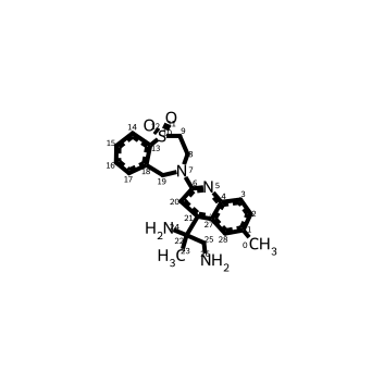 Cc1ccc2nc(N3CCS(=O)(=O)c4ccccc4C3)cc(C(C)(N)CN)c2c1